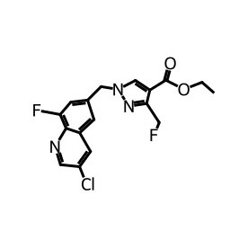 CCOC(=O)c1cn(Cc2cc(F)c3ncc(Cl)cc3c2)nc1CF